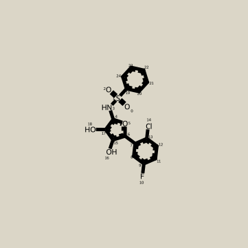 O=S(=O)(Nc1oc(-c2cc(F)ccc2Cl)c(O)c1O)c1ccccc1